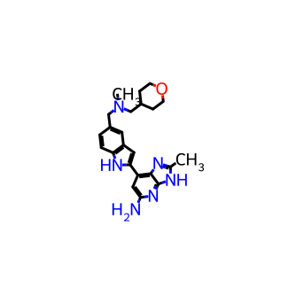 Cc1nc2c(-c3cc4cc(CN(C)CC5CCOCC5)ccc4[nH]3)cc(N)nc2[nH]1